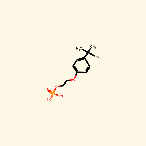 CC(C)(C)C(C)(C)c1ccc(OCCOP(=O)(O)O)cc1